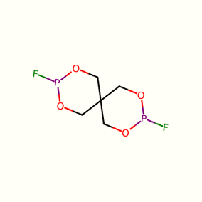 FP1OCC2(CO1)COP(F)OC2